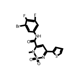 CN1C(C(=O)Nc2cc(F)c(F)c(Br)c2)=CC(c2cccs2)=NS1(=O)=O